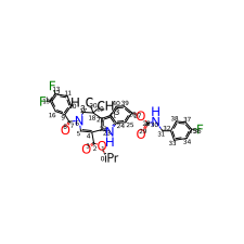 CC(C)OC(=O)C1=CN(C(=O)c2ccc(F)c(F)c2)CC(C)(C)c2c1[nH]c1cc(OC(=O)NCc3ccc(F)cc3)ccc21